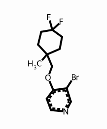 CC1(COc2ccncc2Br)CCC(F)(F)CC1